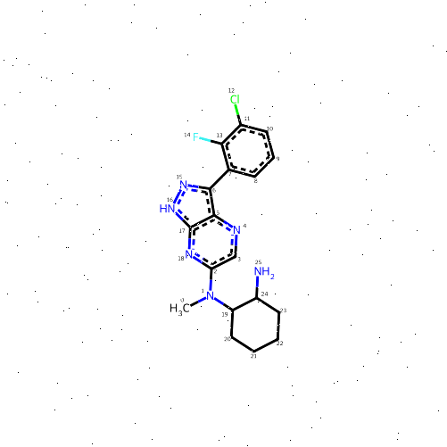 CN(c1cnc2c(-c3cccc(Cl)c3F)n[nH]c2n1)C1CCCCC1N